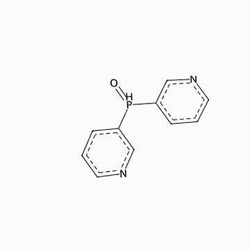 O=[PH](c1cccnc1)c1cccnc1